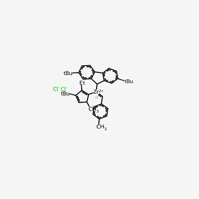 CCC1=[C](/[Zr+2](=[CH]\c2ccc(C)cc2)[CH]2c3cc(C(C)(C)C)ccc3-c3ccc(C(C)(C)C)cc32)C(C)C=C1C(C)(C)C.[Cl-].[Cl-]